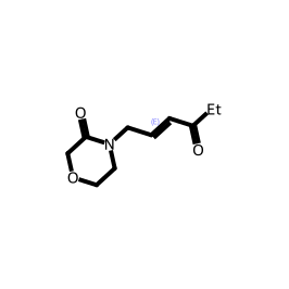 CCC(=O)/C=C/CN1CCOCC1=O